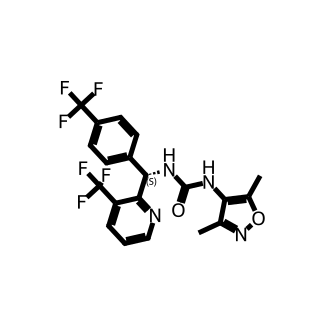 Cc1noc(C)c1NC(=O)N[C@@H](c1ccc(C(F)(F)F)cc1)c1ncccc1C(F)(F)F